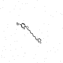 Brc1ccc(OCCCCCCCN2CCSC2)nc1